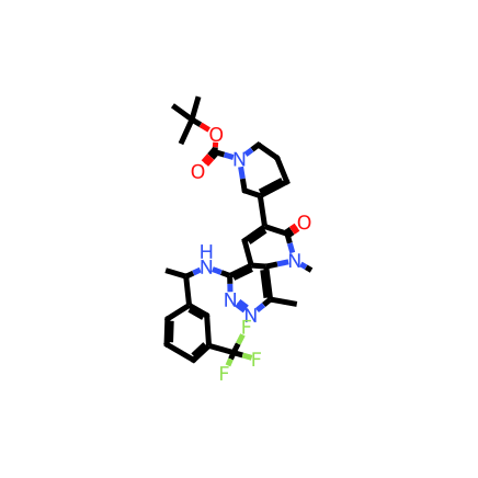 Cc1nnc(NC(C)c2cccc(C(F)(F)F)c2)c2cc(C3=CCCN(C(=O)OC(C)(C)C)C3)c(=O)n(C)c12